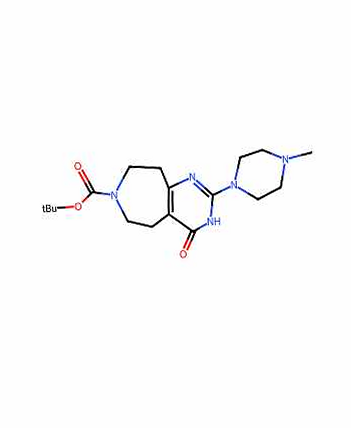 CN1CCN(c2nc3c(c(=O)[nH]2)CCN(C(=O)OC(C)(C)C)CC3)CC1